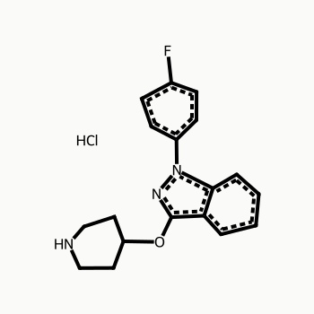 Cl.Fc1ccc(-n2nc(OC3CCNCC3)c3ccccc32)cc1